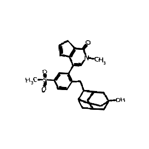 Cn1cc(-c2cc(S(C)(=O)=O)ccc2CC2C3CC4CC2CC(O)(C4)C3)c2c(c1=O)CC=C2